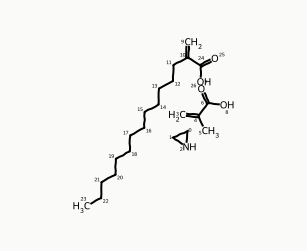 C1CN1.C=C(C)C(=O)O.C=C(CCCCCCCCCCCCC)C(=O)O